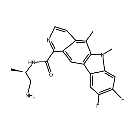 Cc1c2ccnc(C(=O)N[C@H](C)CN)c2cc2c3cc(F)c(F)cc3n(C)c12